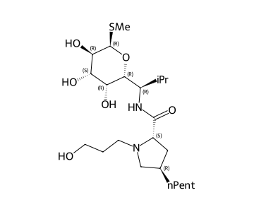 CCCCC[C@@H]1C[C@@H](C(=O)N[C@H](C(C)C)[C@H]2O[C@H](SC)[C@H](O)[C@@H](O)[C@H]2O)N(CCCO)C1